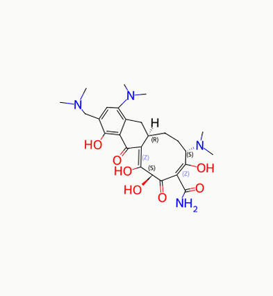 CN(C)Cc1cc(N(C)C)c2c(c1O)C(=O)/C1=C(\O)[C@H](O)C(=O)/C(C(N)=O)=C(/O)[C@@H](N(C)C)CC[C@@H]1C2